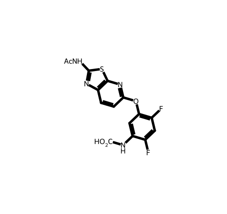 CC(=O)Nc1nc2ccc(Oc3cc(NC(=O)O)c(F)cc3F)nc2s1